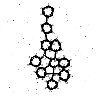 c1ccc(-c2ccc(-c3ccc(N(c4ccccc4)c4c5c(c6ccccc6c4-c4ccccc4)C(c4ccccc4)(c4ccccc4)c4ccccc4-5)cc3)cc2)cc1